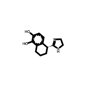 Oc1ccc2c(c1O)CCC[C@H]2C1=NCCN1